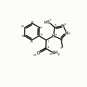 Cc1nnc(S)n1C(C(N)=O)c1ccccc1